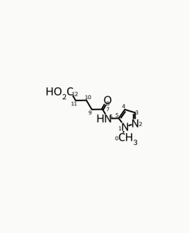 Cn1nccc1NC(=O)CCCC(=O)O